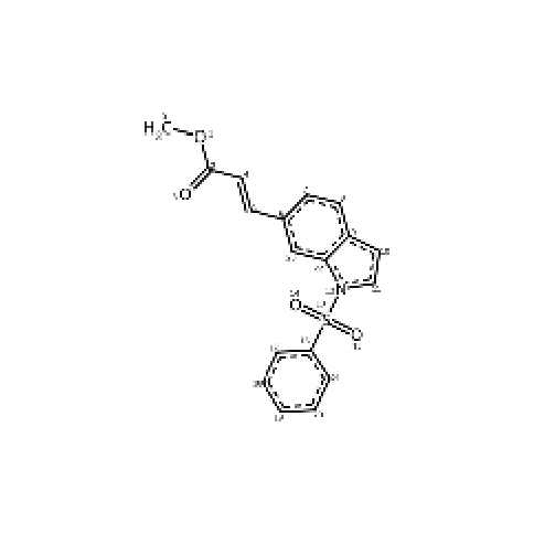 COC(=O)C=Cc1ccc2ccn(S(=O)(=O)c3ccccc3)c2c1